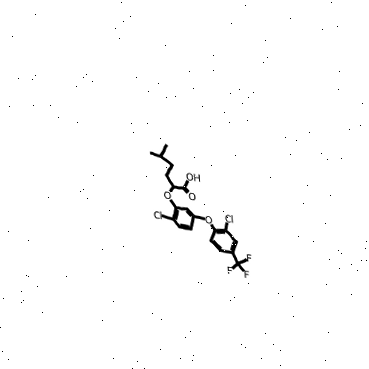 CC(C)CCC(Oc1cc(Oc2ccc(C(F)(F)F)cc2Cl)ccc1Cl)C(=O)O